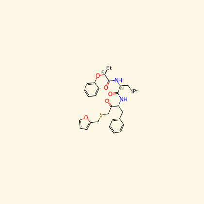 CC[C@H](Oc1ccccc1)C(=O)N[C@@H](CC(C)C)C(=O)NC(Cc1ccccc1)C(=O)CSCc1ccco1